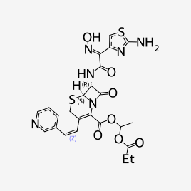 CCC(=O)OC(C)OC(=O)C1=C(/C=C\c2cccnc2)CS[C@H]2[C@H](NC(=O)C(=NO)c3csc(N)n3)C(=O)N12